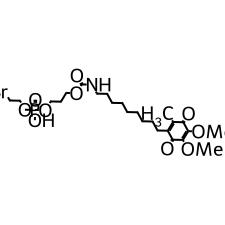 COC1=C(OC)C(=O)C(CCCCCCCCCNC(=O)OCCCOP(=O)(O)OCCBr)=C(C)C1=O